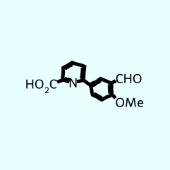 COc1ccc(-c2cccc(C(=O)O)n2)cc1C=O